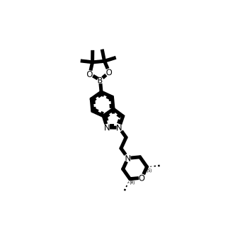 C[C@@H]1CN(CCn2cc3cc(B4OC(C)(C)C(C)(C)O4)ccc3n2)C[C@H](C)O1